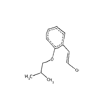 CC(C)COc1ccccc1C=C[O]